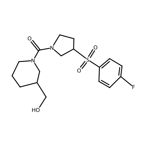 O=C(N1CCCC(CO)C1)N1CCC(S(=O)(=O)c2ccc(F)cc2)C1